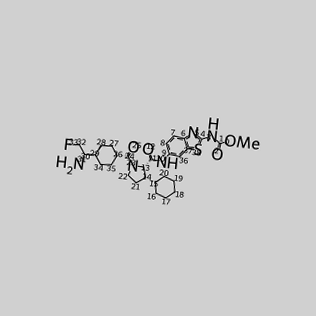 COC(=O)Nc1nc2ccc(NC(=O)[C@@H]3[C@H](C4CCCCC4)CCN3C(=O)[C@H]3CC[C@H]([C@H](N)CF)CC3)cc2s1